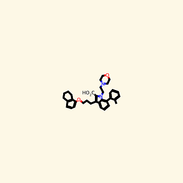 Cc1ccccc1-c1cccc2c(CCCOc3cccc4c3CCCC4)c(C(=O)O)n(CCN3CCOCC3)c12